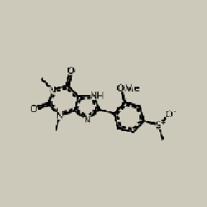 COc1cc([S+](C)[O-])ccc1-c1nc2c([nH]1)c(=O)n(C)c(=O)n2C